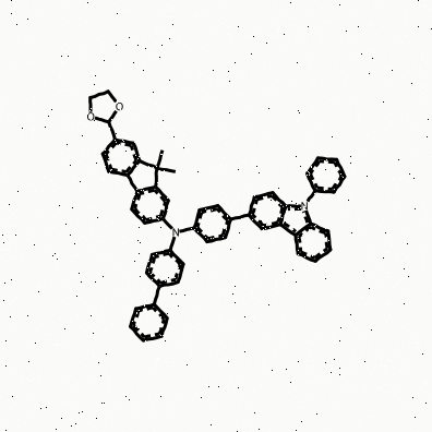 CC1(C)c2cc(C3OCCO3)ccc2-c2ccc(N(c3ccc(-c4ccccc4)cc3)c3ccc(-c4ccc5c(c4)c4ccccc4n5-c4ccccc4)cc3)cc21